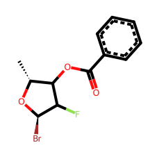 C[C@H]1O[C@H](Br)C(F)C1OC(=O)c1ccccc1